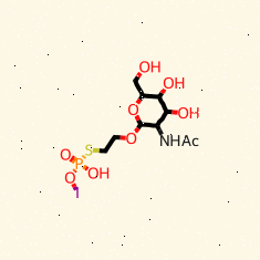 CC(=O)NC1C(OCCSP(=O)(O)OI)OC(CO)C(O)C1O